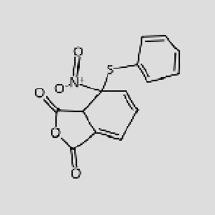 O=C1OC(=O)C2C1=CC=CC2(Sc1ccccc1)[N+](=O)[O-]